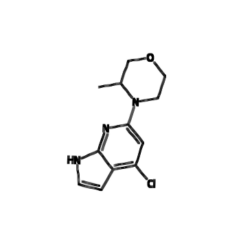 CC1COCCN1c1cc(Cl)c2cc[nH]c2n1